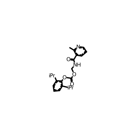 Cc1ncccc1C(=O)NCOC(=O)Oc1c(C(C)C)cccc1C(C)C